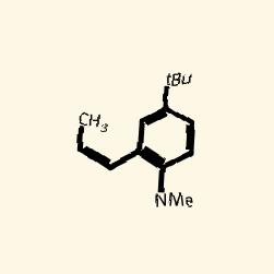 C/C=C\c1cc(C(C)(C)C)ccc1NC